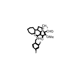 COc1c(C=O)n2c(c(C(=O)NCc3ccc(F)cc3F)c1=O)C(C1CCCCCC1)C[C@H]2C